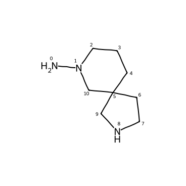 NN1CCCC2(CCNC2)C1